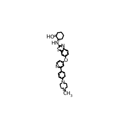 CN1CCN(c2ccc(-c3cc(Oc4ccc5nc(N[C@@H]6CCCC[C@H]6O)sc5c4)ccn3)cc2)CC1